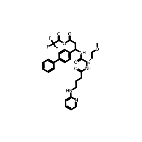 COCC[C@H](NC(=O)CCCNc1ccccn1)C(=O)NC(CC(=O)OC(=O)C(F)(F)F)c1ccc(-c2ccccc2)cc1